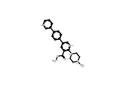 COC(=O)c1cc(-c2ccc(-c3cccnc3)cc2)cnc1N1CCN(C)CC1